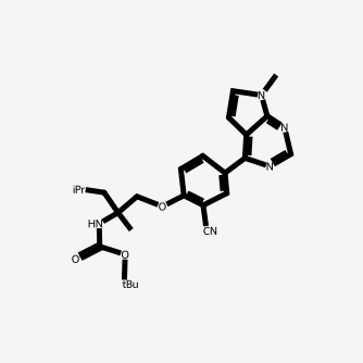 CC(C)CC(C)(COc1ccc(-c2ncnc3c2ccn3C)cc1C#N)NC(=O)OC(C)(C)C